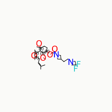 CO[C@H]1C([C@@]2(C)O[C@@H]2CC=C(C)C)[C@]2(CC[C@H]1OC(=O)N1CC(CCN3CC(F)(F)C3)C1)CO2